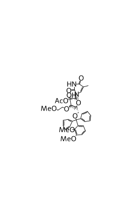 COCCO[C@@H]1[C@@H](COC(c2ccccc2)(c2ccccc2)c2cccc(OC)c2OC)O[C@@H](n2cc(C)c(=O)[nH]c2=O)[C@@]1(O)OC(C)=O